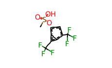 CS(=O)(=O)O.FC(F)(F)c1ccc2c(C(F)(F)F)c1-2